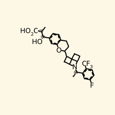 C[C@H](C(=O)O)[C@@H](O)c1ccc2c(c1)OC(C1CC3N([C@H](C)c4cc(F)ccc4C(F)(F)F)C4CCC143)CC2